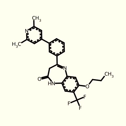 CCCOc1cc2c(cc1C(F)(F)F)NC(=O)CC(c1cccc(-c3cc(C)nc(C)c3)c1)=N2